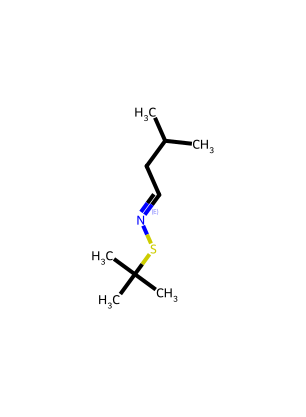 CC(C)C/C=N/SC(C)(C)C